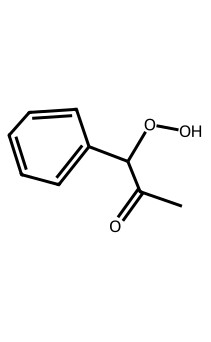 CC(=O)C(OO)c1ccccc1